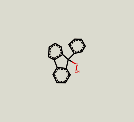 OOC1(c2ccccc2)c2ccccc2-c2ccccc21